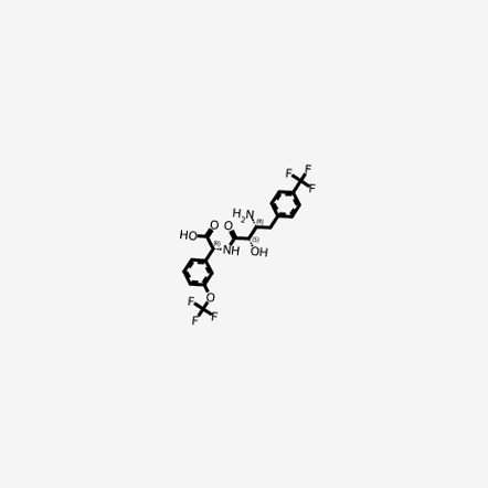 N[C@H](Cc1ccc(C(F)(F)F)cc1)[C@H](O)C(=O)N[C@@H](C(=O)O)c1cccc(OC(F)(F)F)c1